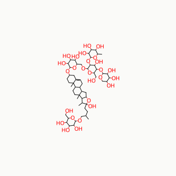 CC(CCC1(O)OC2CC3C4CC=C5CC(OC6OC(COC7OC(CO)C(OC8OCC(O)C(O)C8O)C(O)C7OC7OC(C)C(O)C(O)C7O)C(O)C(O)C6O)CCC5(C)C4CCC3(C)C2C1C)COC1OC(CO)C(O)C(O)C1O